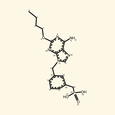 CCCCOc1nc(N)c2ncn(Cc3cccc(CP(=O)(O)O)c3)c2n1